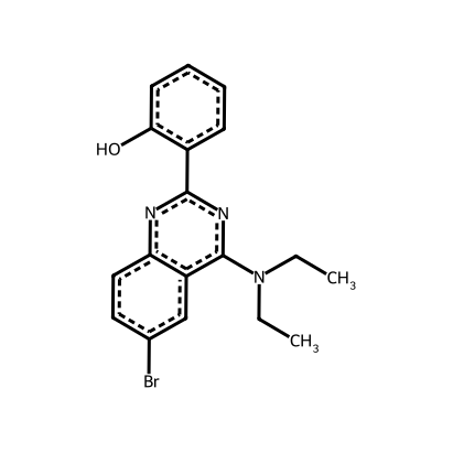 CCN(CC)c1nc(-c2ccccc2O)nc2ccc(Br)cc12